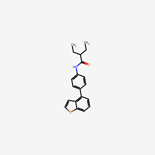 CCC(CC)C(=O)Nc1ccc(-c2cccc3sccc23)cc1